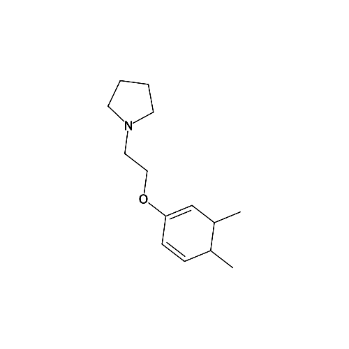 CC1C=CC(OCCN2CCCC2)=CC1C